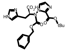 CC(C)(C)OC(=O)c1nccn1N(C(=O)OCc1ccccc1)[C@@H](Cc1c[nH]cn1)C(=O)O